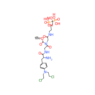 CC(C)(C)OC(=O)N(CC(=O)NCCCCC(O)(P(=O)(O)O)P(=O)(O)O)C(=O)CNC(=O)[C@@H](N)Cc1ccc(N(CCCl)CCCl)cc1